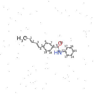 CC=CC=Cc1ccc(C(=O)Nc2ccccc2)cc1